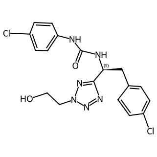 O=C(Nc1ccc(Cl)cc1)N[C@@H](Cc1ccc(Cl)cc1)c1nnn(CCO)n1